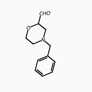 O=CC1CN(Cc2ccccc2)CCO1